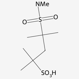 CNS(=O)(=O)C(C)(C)CC(C)(C)S(=O)(=O)O